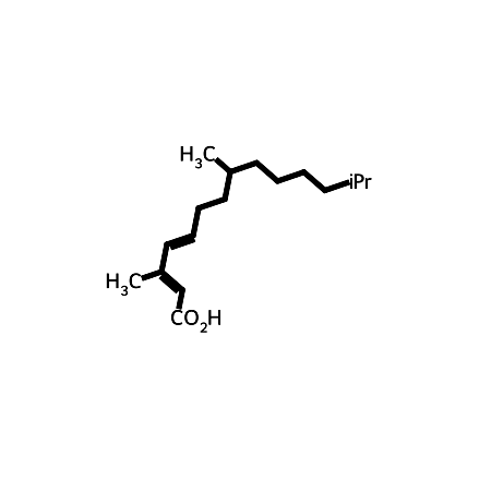 CC(C=CCCC(C)CCCCC(C)C)=CC(=O)O